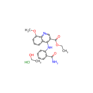 CCO.CCOC(=O)c1cnc2c(OC)cccc2c1Nc1ccccc1C(N)=O.Cl